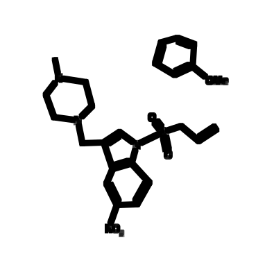 C=CCS(=O)(=O)n1cc(CN2CCN(C)CC2)c2cc([N+](=O)[O-])ccc21.COc1ccccc1